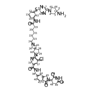 CC1(N)CCN(c2cnc(Sc3cccc(NC(=O)CCCCCCN4CC5(CCN(c6ncc(C(=O)NCc7ccc8c(c7)CN(C7CCC(=O)NC7=O)C8=O)cc6Cl)C5)C4)c3)cn2)CC1